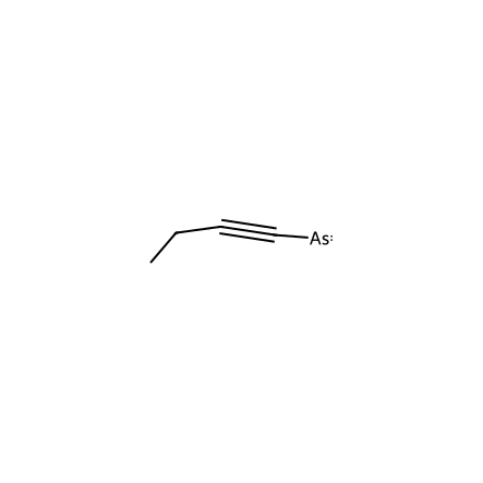 CCC#C[As]